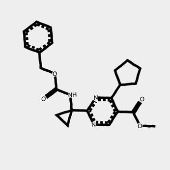 COC(=O)c1cnc(C2(NC(=O)OCc3ccccc3)CC2)nc1C1CCCC1